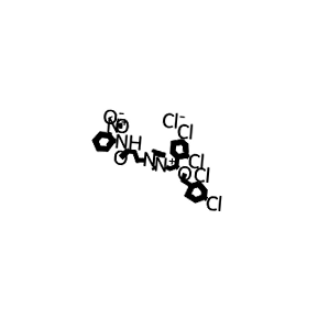 O=C(CCn1cc[n+](CC(OCc2ccc(Cl)cc2Cl)c2ccc(Cl)cc2Cl)c1)Nc1ccccc1[N+](=O)[O-].[Cl-]